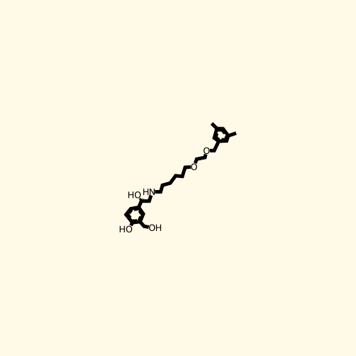 Cc1cc(C)cc(COCCOCCCCCCNC[C@H](O)c2ccc(O)c(CO)c2)c1